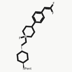 CCCCC[C@H]1CC[C@H](CC[Si]2(F)CCC(c3ccc(C=C(F)F)cc3)CC2)CC1